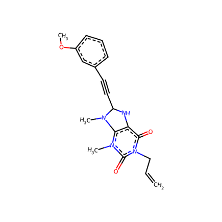 C=CCn1c(=O)c2c(n(C)c1=O)N(C)C(C#Cc1cccc(OC)c1)N2